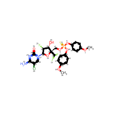 COc1ccc(OP(=S)(OC[C@@]2(C(F)F)O[C@@H](n3cc(Cl)c(N)nc3=O)[C@@H](F)[C@@H]2O)Oc2ccc(OC)cc2)cc1